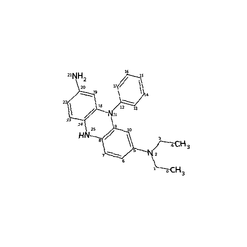 CCN(CC)c1ccc2c(c1)N(c1ccccc1)c1cc(N)ccc1N2